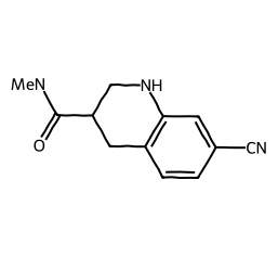 CNC(=O)C1CNc2cc(C#N)ccc2C1